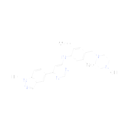 COc1cc(CN2CCN(C)CC2)c([N+](=O)[O-])cc1Nc1cc(-c2ccc3c(cnn3C)c2)ncn1